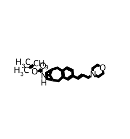 CC(C)(C)OC(=O)NC1C2CCC1Cc1cc(/C=C/CN3CCOCC3)ccc1C2